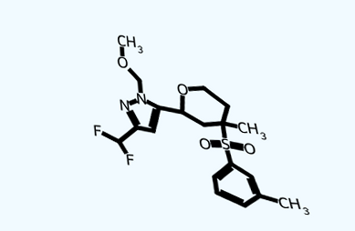 COCn1nc(C(F)F)cc1C1CC(C)(S(=O)(=O)c2cccc(C)c2)CCO1